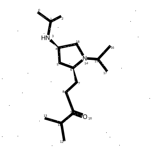 CC(C)N[C@@H]1C[C@H](CCC(=O)C(C)C)N(C(C)C)C1